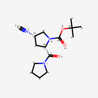 [C-]#[N+][C@H]1C[C@@H](C(=O)N2CCCC2)N(C(=O)OC(C)(C)C)C1